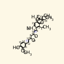 CCc1c(/C=C/C(=O)CC(=O)/C=C/c2ccc(O)c(OC)c2)ccc(O)c1OC(CC)(CC)CC.N